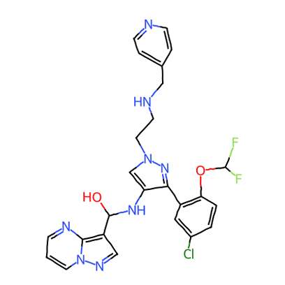 OC(Nc1cn(CCNCc2ccncc2)nc1-c1cc(Cl)ccc1OC(F)F)c1cnn2cccnc12